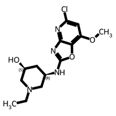 CCN1C[C@@H](O)C[C@@H](Nc2nc3nc(Cl)cc(OC)c3o2)C1